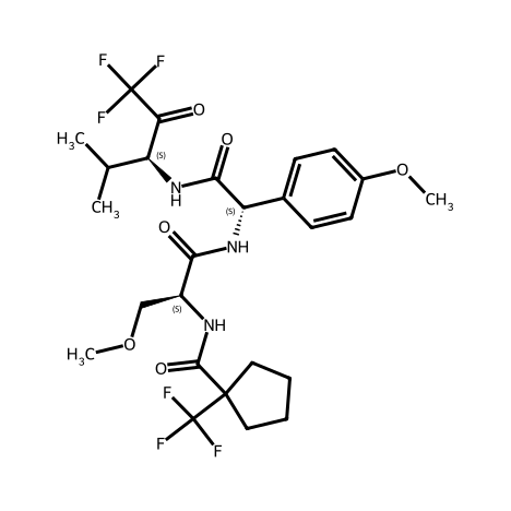 COC[C@H](NC(=O)C1(C(F)(F)F)CCCC1)C(=O)N[C@H](C(=O)N[C@H](C(=O)C(F)(F)F)C(C)C)c1ccc(OC)cc1